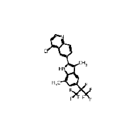 Cc1c(-c2ccc3nccc(Cl)c3c2)[nH]c2c(C)cc(C(F)(C(F)(F)F)C(F)(F)F)cc12